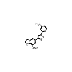 COc1cc(-c2cc(-c3cccc(C)c3)on2)cc2c1OCC2